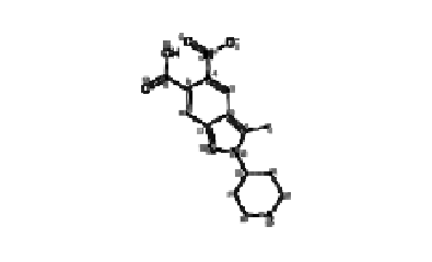 Cc1c2cc([N+](=O)[O-])c(C(=O)O)cc2nn1C1CCSCC1